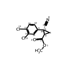 COC(=O)C1C[C@]1(C#N)c1ccc(Cl)c(Cl)c1